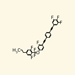 CCCc1cc(F)c(C(F)(F)Oc2ccc(C#Cc3ccc(C#Cc4cc(F)c(F)c(F)c4)cc3)c(F)c2)c(F)c1